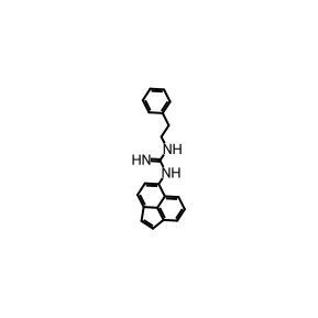 N=C(NCCc1ccccc1)Nc1ccc2c3c(cccc13)C=C2